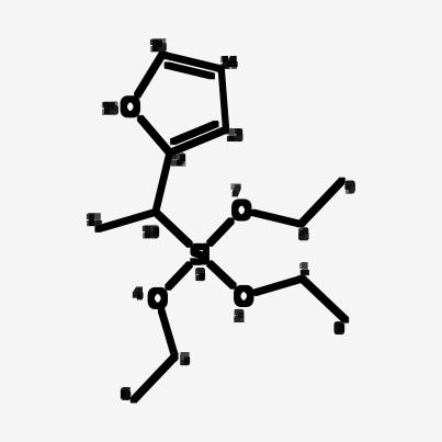 CCO[Si](OCC)(OCC)C(C)c1ccco1